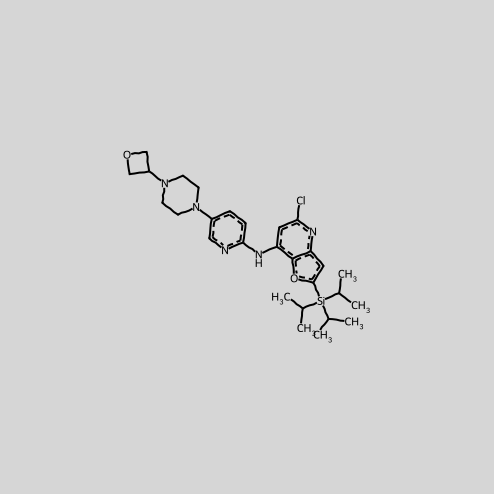 CC(C)[Si](c1cc2nc(Cl)cc(Nc3ccc(N4CCN(C5COC5)CC4)cn3)c2o1)(C(C)C)C(C)C